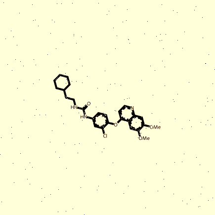 COc1cc2nccc(Oc3ccc(NC(=O)NCCC4CCCCC4)cc3Cl)c2cc1OC